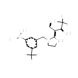 CN(C)c1cc(CN2CCN/C2=C(/C=O)C(=N)C(F)(F)F)cc(C(F)(F)F)c1